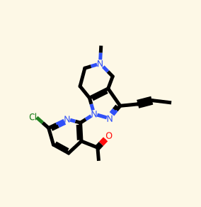 CC#Cc1nn(-c2nc(Cl)ccc2C(C)=O)c2c1CN(C)CC2